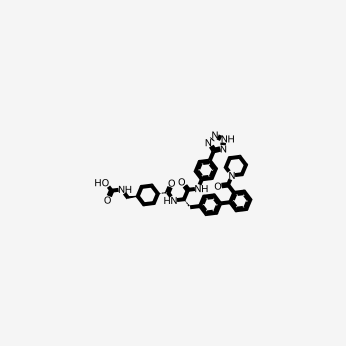 O=C(O)NC[C@H]1CC[C@H](C(=O)N[C@@H](Cc2ccc(-c3ccccc3C(=O)N3CCCCC3)cc2)C(=O)Nc2ccc(-c3nn[nH]n3)cc2)CC1